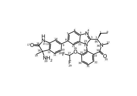 CC[C@@H]1c2nc3ccc(-c4ccc5c(c4)NC(=O)C5(C)N)cc3n2-c2c(OC(F)F)cccc2C(=O)N1C